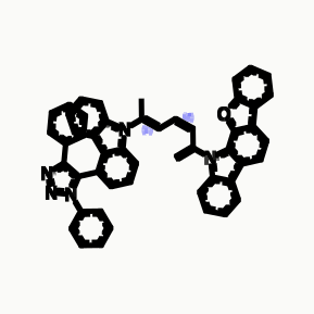 C=C(/C=C\C=C(/C)n1c2ccccc2c2c(-c3c(-c4ccccc4)nnn3-c3ccccc3)cccc21)n1c2ccccc2c2ccc3c4ccccc4oc3c21